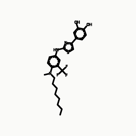 CCCCCCCCN(C)c1ccc(Nc2nc(-c3ccc(O)c(O)c3)cs2)cc1C(F)(F)F